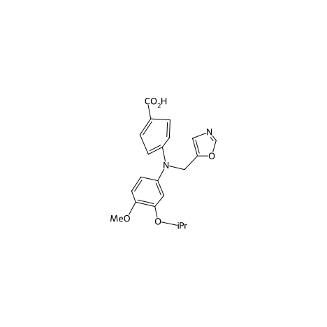 COc1ccc(N(Cc2cnco2)c2ccc(C(=O)O)cc2)cc1OC(C)C